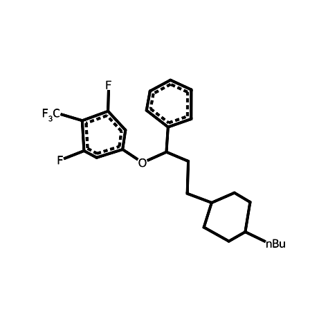 CCCCC1CCC(CCC(Oc2cc(F)c(C(F)(F)F)c(F)c2)c2ccccc2)CC1